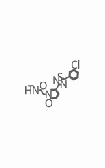 CCNC(=O)Cn1cc(-c2nsc(-c3cccc(Cl)c3)n2)ccc1=O